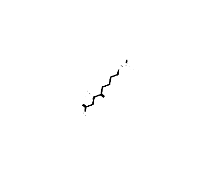 NC(=O)C[C@H](N)C(=O)CCCC[O][Sn](=[O])[OH]